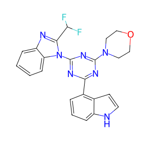 FC(F)c1nc2ccccc2n1-c1nc(-c2cccc3[nH]ccc23)nc(N2CCOCC2)n1